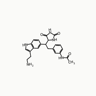 CC(=O)Nc1cccc(CC(c2ccc3[nH]cc(CCN)c3c2)C2NC(=O)NC2=O)c1